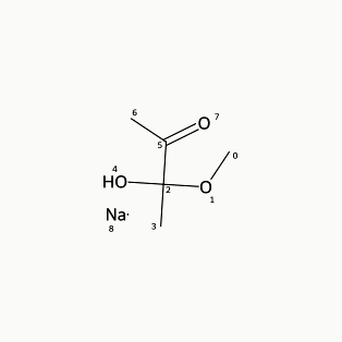 COC(C)(O)C(C)=O.[Na]